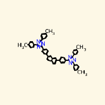 Cc1ccc(-c2nc(-c3ccc(C)cc3)nc(-c3ccc(-c4ccc5ccc(-c6ccc(-c7nc(-c8ccc(C)cc8)nc(-c8ccc(C)cc8)n7)cc6)cc5c4)cc3)n2)cc1